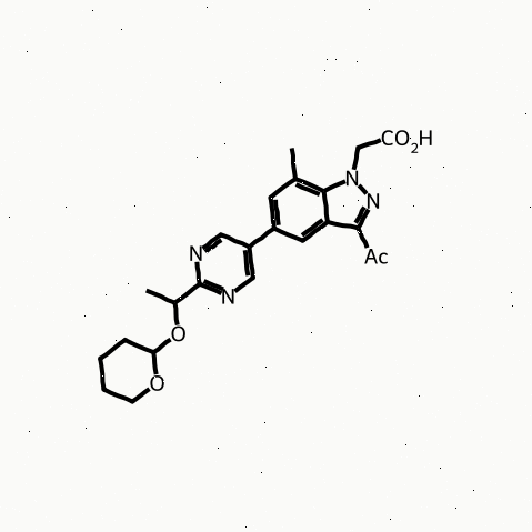 CC(=O)c1nn(CC(=O)O)c2c(C)cc(-c3cnc(C(C)OC4CCCCO4)nc3)cc12